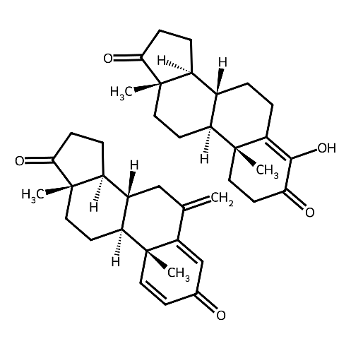 C=C1C[C@@H]2[C@H](CC[C@]3(C)C(=O)CC[C@@H]23)[C@@]2(C)C=CC(=O)C=C12.C[C@]12CCC(=O)C(O)=C1CC[C@@H]1[C@@H]2CC[C@]2(C)C(=O)CC[C@@H]12